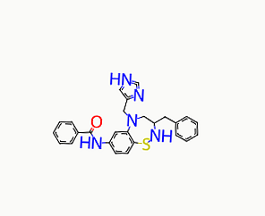 O=C(Nc1ccc2c(c1)N(Cc1c[nH]cn1)CC(Cc1ccccc1)NS2)c1ccccc1